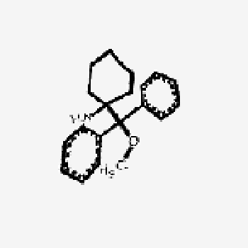 COC(c1ccccc1)(c1ccccc1)C1(N)CCCCC1